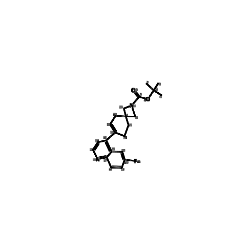 CC(C)(C)OC(=O)N1CC2(CC=C(c3ccnc4ccc(F)cc34)CC2)C1